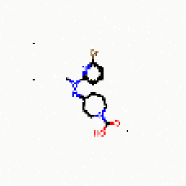 CN(N=C1CCCN(C(=O)O)CC1)c1cccc(Br)n1